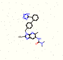 CCCCc1nc2cc(NC(=O)N(C)C)c(C)nc2n1Cc1ccc(-c2ccccc2-c2nnn[nH]2)cc1